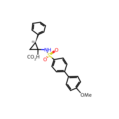 COc1ccc(-c2ccc(S(=O)(=O)NC3(C(=O)O)C[C@H]3c3ccccc3)cc2)cc1